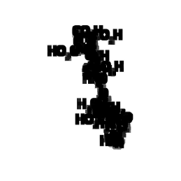 Cc1cc(OCCCC(=O)NCCC[C@H](C[C@H](CS(=O)(=O)O)NC(=O)CN2CCN(CC(=O)O)CCN(CC(=O)O)CCN(CC(=O)O)CC2)CS(=O)(=O)O)cc(C)c1S(=O)(=O)N[C@@H](CNC(=O)C1CC(=O)c2ccc(CNc3ncc[nH]3)cc2N1C)C(=O)O